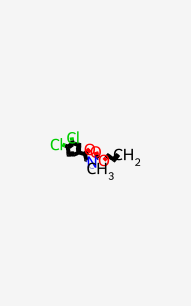 C=CCOC(=O)N(C)CC(=O)c1ccc(Cl)c(Cl)c1